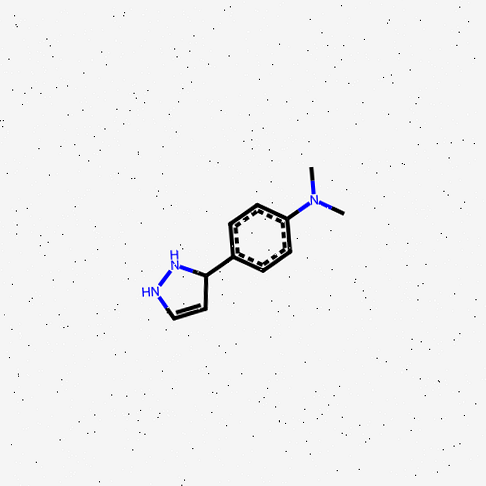 CN(C)c1ccc(C2C=CNN2)cc1